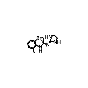 Cc1cccc(Br)c1NC(=O)N=C1NCCN1